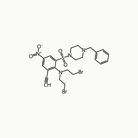 C#Cc1cc([N+](=O)[O-])cc(S(=O)(=O)N2CCN(Cc3ccccc3)CC2)c1N(CCBr)CCBr